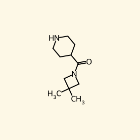 CC1(C)CN(C(=O)C2CCNCC2)C1